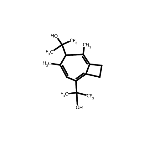 CC1=CC(C(O)(C(F)(F)F)C(F)(F)F)=C2CCC2=C(C)C1C(O)(C(F)(F)F)C(F)(F)F